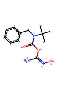 CC(C)(C)N(Cc1ccccc1)C(=O)O/C(N)=N\O